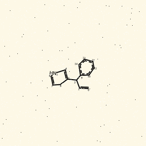 C=CC(C1=CNC=CC1)c1ccccc1